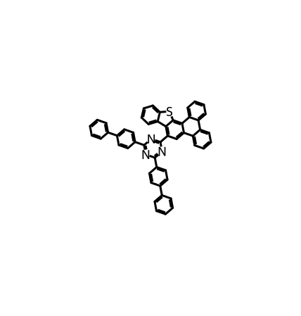 c1ccc(-c2ccc(-c3nc(-c4ccc(-c5ccccc5)cc4)nc(-c4cc5c6ccccc6c6ccccc6c5c5sc6ccccc6c45)n3)cc2)cc1